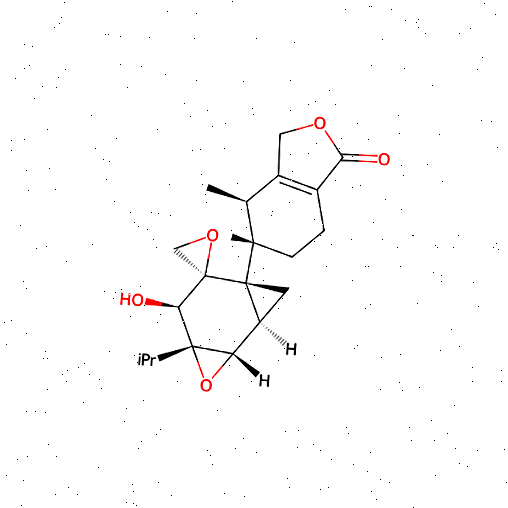 CC(C)[C@]12O[C@H]1[C@@H]1C[C@]1([C@@]1(C)CCC3=C(COC3=O)[C@@H]1C)[C@@]1(CO1)[C@@H]2O